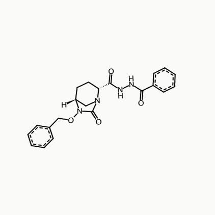 O=C(NNC(=O)[C@H]1CC[C@@H]2CN1C(=O)N2OCc1ccccc1)c1ccccc1